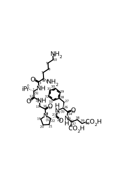 CC(C)[C@H](NC(=O)[C@@H](N)CCCCN)C(=O)NCC(=O)N1CCC[C@H]1C(=O)N[C@@H](Cc1ccccc1)C(=O)N[C@@H](CCC(=O)O)C(=O)O